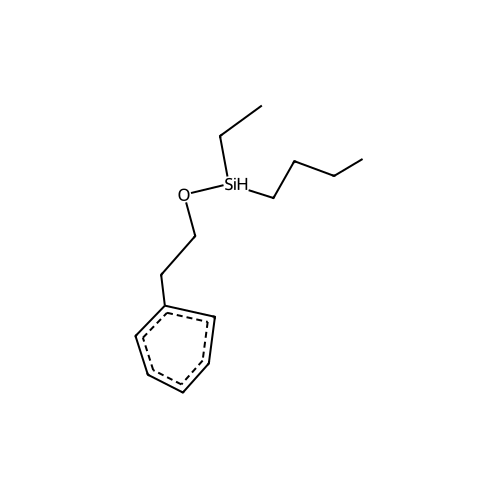 CCCC[SiH](CC)OCCc1ccccc1